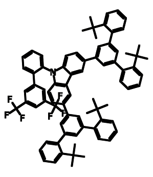 CC(C)(C)c1ccccc1-c1cc(-c2ccc3c(c2)c2cc(-c4cc(-c5ccccc5C(C)(C)C)cc(-c5ccccc5C(C)(C)C)c4)ccc2n3-c2ccccc2-c2cc(C(F)(F)F)cc(C(F)(F)F)c2)cc(-c2ccccc2C(C)(C)C)c1